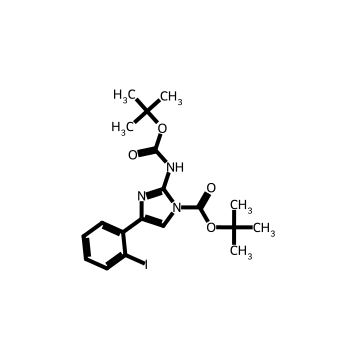 CC(C)(C)OC(=O)Nc1nc(-c2ccccc2I)cn1C(=O)OC(C)(C)C